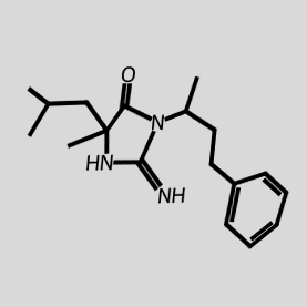 CC(C)CC1(C)NC(=N)N(C(C)CCc2ccccc2)C1=O